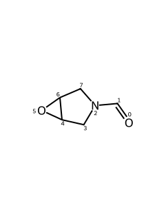 O=CN1CC2OC2C1